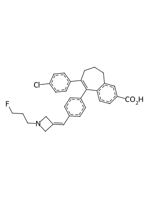 O=C(O)c1ccc2c(c1)CCCC(c1ccc(Cl)cc1)=C2c1ccc(C=C2CN(CCCF)C2)cc1